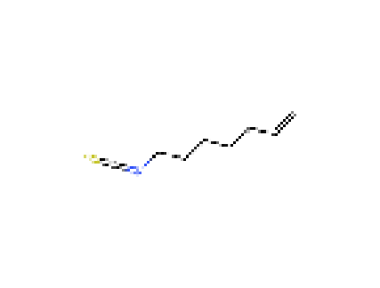 C=CCCCCCN=C=S